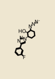 [N-]=[N+]=NC1CCC[C@H](n2cc(-c3cccc(F)c3)nn2)[C@H]1O